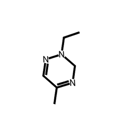 CCN1CN=C(C)C=N1